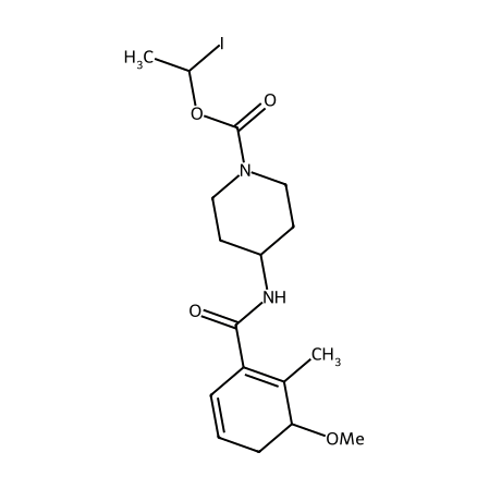 COC1CC=CC(C(=O)NC2CCN(C(=O)OC(C)I)CC2)=C1C